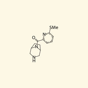 CSc1cccc(C(=O)N2C3CCC2CNC3)n1